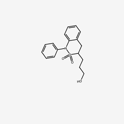 O=S1(=O)C(CCCO)Cc2ccccc2N1c1ccccc1